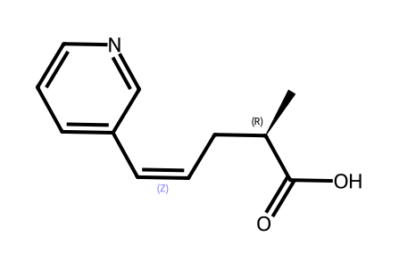 C[C@H](C/C=C\c1cccnc1)C(=O)O